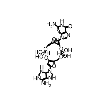 NC1=C2NCN(c3cc4c(o3)CO[PH](O)(O)OC3=C(n5cnc6c(=O)[nH]c(N)nc65)O/C(=C/O[PH](O)(O)O4)[C@H]3F)C2NCN1